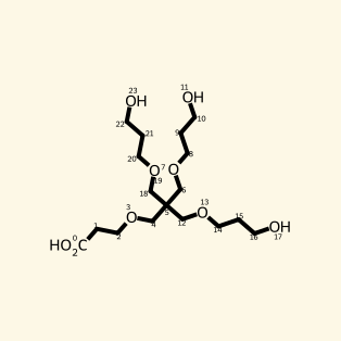 O=C(O)CCOCC(COCCCO)(COCCCO)COCCCO